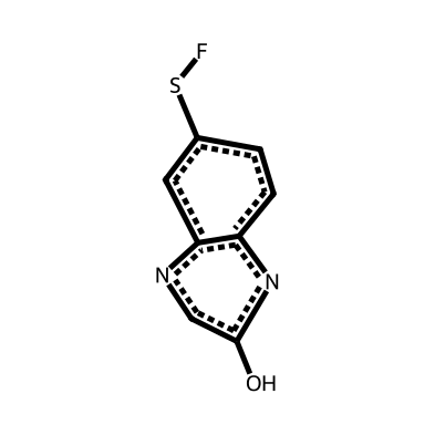 Oc1cnc2cc(SF)ccc2n1